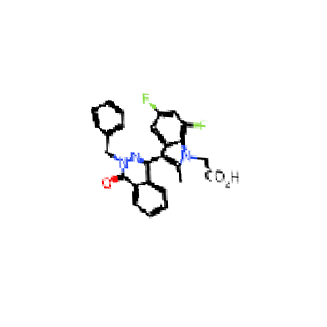 Cc1c(-c2nn(Cc3ccccc3)c(=O)c3ccccc23)c2cc(F)cc(F)c2n1CC(=O)O